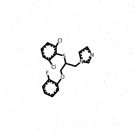 Fc1ccccc1OCC(Cn1ccnc1)Sc1c(Cl)cccc1Cl